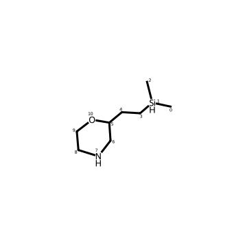 C[SiH](C)CCC1CNCCO1